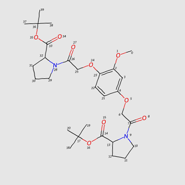 COc1cc(OCC(=O)N2CCCC2C(=O)OC(C)(C)C)ccc1OCC(=O)N1CCCC1C(=O)OC(C)(C)C